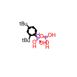 CC(C)(C)c1ccc([PH](O)(O)OP(O)O)c(C(C)(C)C)c1